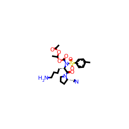 CC(=O)OC(C)OC(=O)N([C@@H](CCCCN)C(=O)N1CCC[C@H]1C#N)S(=O)(=O)c1ccc(C)cc1